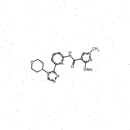 COc1nn(C)cc1C(=O)Nc1cccc(-c2nncn2C2CCOCC2)n1